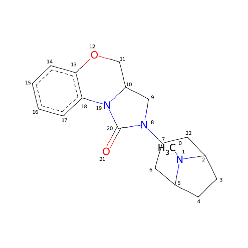 CN1C2CCC1CC(N1CC3COc4ccccc4N3C1=O)C2